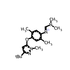 Cc1cc(Oc2cc(C(C)(C)C)nn2C)c(C)cc1/N=C/N(C)C